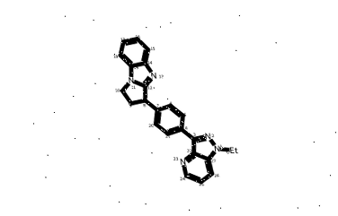 CCn1nc(-c2ccc(C3CCn4c3nc3ccccc34)cc2)c2ncccc21